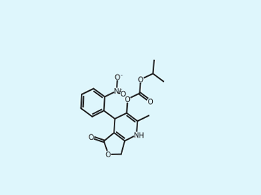 CC1=C(OC(=O)OC(C)C)C(c2ccccc2[N+](=O)[O-])C2=C(COC2=O)N1